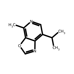 Cc1ncc(C(C)C)c2ncoc12